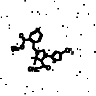 CC(C)(C)OC(=O)c1cnccc1CN1CN(c2cc(C(F)(F)F)cs2)C(C(=O)C=O)C1(C)C